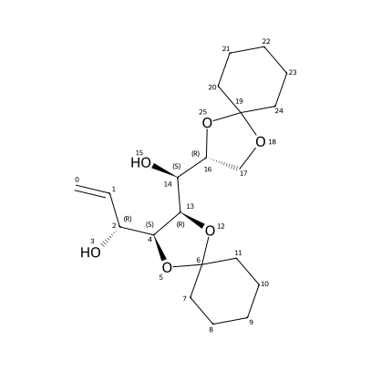 C=C[C@@H](O)[C@@H]1OC2(CCCCC2)O[C@@H]1[C@@H](O)[C@H]1COC2(CCCCC2)O1